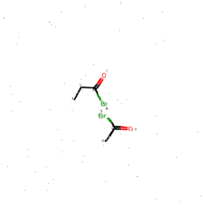 CC(=O)Br.CCC(=O)Br